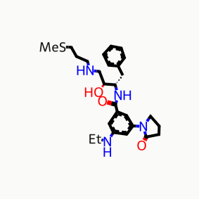 CCNc1cc(C(=O)N[C@@H](Cc2ccccc2)[C@@H](O)CNCCCSC)cc(N2CCCC2=O)c1